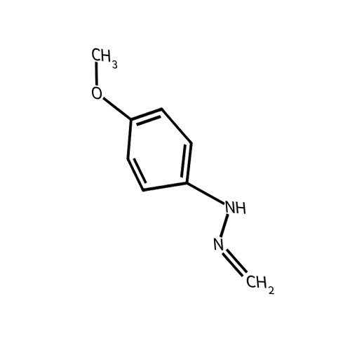 C=NNc1ccc(OC)cc1